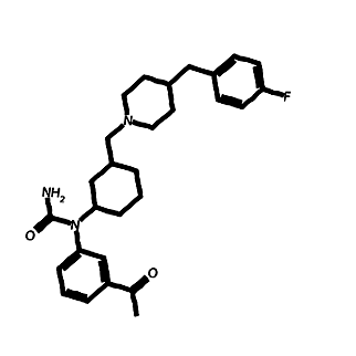 CC(=O)c1cccc(N(C(N)=O)C2CCCC(CN3CCC(Cc4ccc(F)cc4)CC3)C2)c1